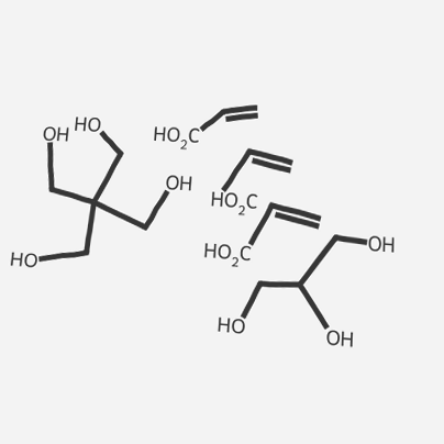 C=CC(=O)O.C=CC(=O)O.C=CC(=O)O.OCC(CO)(CO)CO.OCC(O)CO